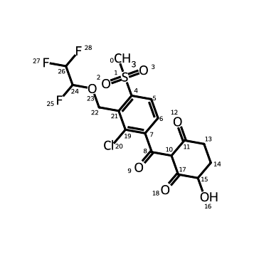 CS(=O)(=O)c1ccc(C(=O)C2C(=O)CCC(O)C2=O)c(Cl)c1COC(F)C(F)F